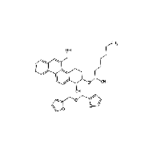 CCCCCCC(C)OC1CCc2c(ccc3c2c(CO)cc2ccccc23)C1C.c1coc(COCc2ccco2)c1